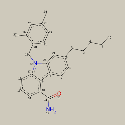 CCCCCc1c[c]c2c3c(C(N)=O)cccc3n(Cc3ccc(C)cc3C)c2c1